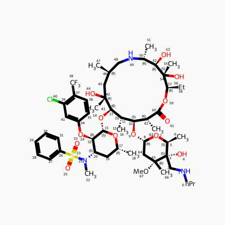 CCCNC[C@]1(O)[C@H](C)O[C@@H](O[C@H]2[C@H](C)[C@@H](O[C@@H]3O[C@H](C)C[C@H](N(C)S(=O)(=O)c4ccccc4)[C@H]3Oc3ccc(C(F)(F)F)c(Cl)c3)[C@](C)(O)C[C@@H](C)CN[C@H](C)[C@@H](O)[C@](C)(O)[C@@H](CC)OC(=O)[C@@H]2C)C[C@@]1(C)OC